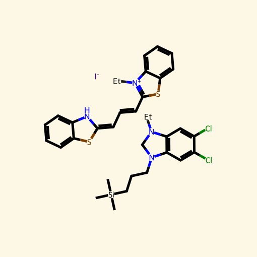 CCN1CN(CCC[Si](C)(C)C)c2cc(Cl)c(Cl)cc21.CC[n+]1c(C=CC=C2Nc3ccccc3S2)sc2ccccc21.[I-]